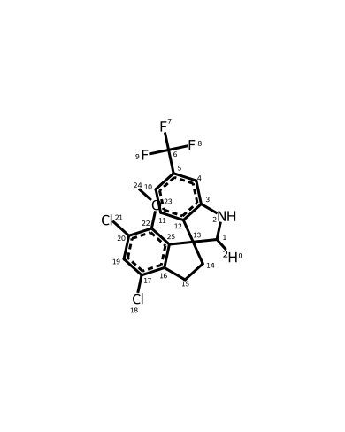 [2H]C1Nc2cc(C(F)(F)F)ccc2C12CCc1c(Cl)cc(Cl)c(OC)c12